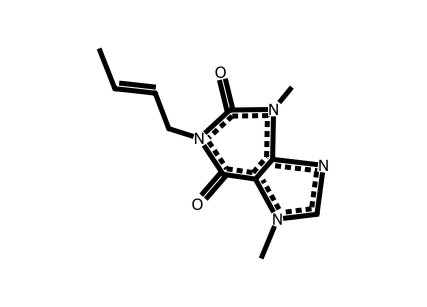 CC=CCn1c(=O)c2c(ncn2C)n(C)c1=O